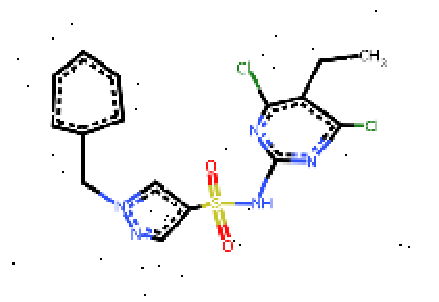 CCc1c(Cl)nc(NS(=O)(=O)c2cnn(Cc3ccccc3)c2)nc1Cl